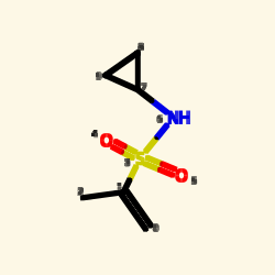 C=C(C)S(=O)(=O)NC1CC1